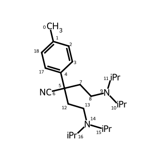 Cc1ccc(C(C#N)(CCN(C(C)C)C(C)C)CCN(C(C)C)C(C)C)cc1